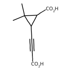 CC1(C)C(C#CC(=O)O)C1C(=O)O